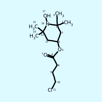 CC1(C)CC(OC(=O)CCCCl)CC(C)(C)N1O